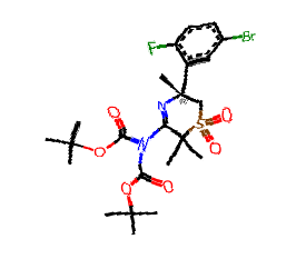 CC(C)(C)OC(=O)N(C(=O)OC(C)(C)C)C1=N[C@](C)(c2cc(Br)ccc2F)CS(=O)(=O)C1(C)C